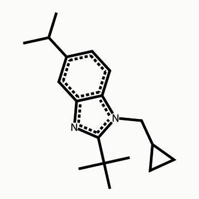 CC(C)c1ccc2c(c1)nc(C(C)(C)C)n2CC1CC1